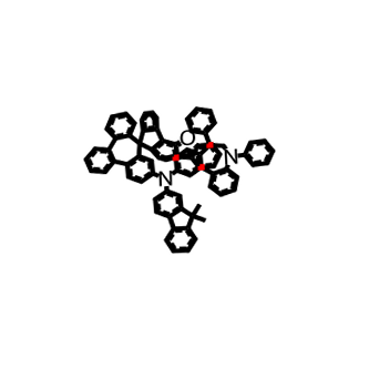 CC1(C)c2ccccc2-c2ccc(N(c3ccc4c(c3)-c3ccccc3N(c3ccccc3)CC4c3ccccc3)c3ccc4c(c3)C3(c5ccccc5-c5ccccc5-4)c4ccccc4-c4c3ccc3c4oc4ccccc43)cc21